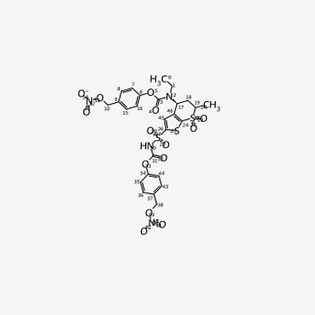 CCN(C(=O)Oc1ccc(CO[N+](=O)[O-])cc1)[C@H]1CC(C)S(=O)(=O)c2sc(S(=O)(=O)NC(=O)Oc3ccc(CO[N+](=O)[O-])cc3)cc21